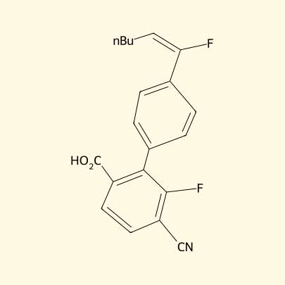 CCCC/C=C(/F)c1ccc(-c2c(C(=O)O)ccc(C#N)c2F)cc1